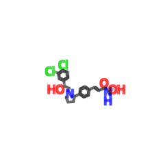 O=C(C=Cc1ccc(C2CCCN2CC(O)c2ccc(Cl)c(Cl)c2)cc1)NO